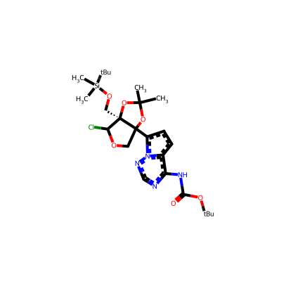 CC(C)(C)OC(=O)Nc1ncnn2c(C34COC(Cl)[C@@]3(CO[Si](C)(C)C(C)(C)C)OC(C)(C)O4)ccc12